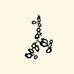 CC1(C)c2cc(-c3ccc4c5ccccc5n(-c5ccccc5)c4c3)ccc2-c2ccc(N(c3ccc(-c4ccc5c6ccccc6n(-c6ccccc6)c5c4)c4ccccc34)c3ccc(-n4c5ccccc5c5ccccc54)c4ccccc34)cc21